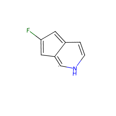 Fc1cc2[c][nH]ccc-2c1